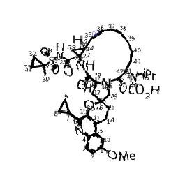 COc1ccc2nc(C3CC3)c3c(c2c1)CC[C@]1(C[C@H]2C(=O)N[C@]4(C(=O)NS(=O)(=O)C5(C)CC5)C[C@H]4/C=C\CCCCC[C@H](N(C(=O)O)C(C)C)C(=O)N2C1)O3